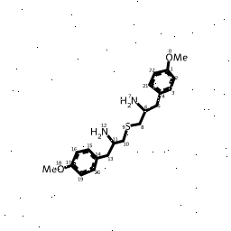 COc1ccc(CC(N)CSCC(N)Cc2ccc(OC)cc2)cc1